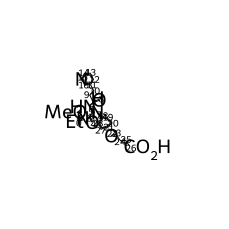 CCN(OC)C(=O)C(NC(=O)CCc1cccnc1)Nc1ccc(OCCCC(=O)O)cc1